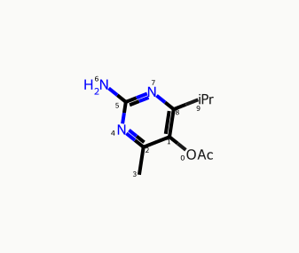 CC(=O)Oc1c(C)nc(N)nc1C(C)C